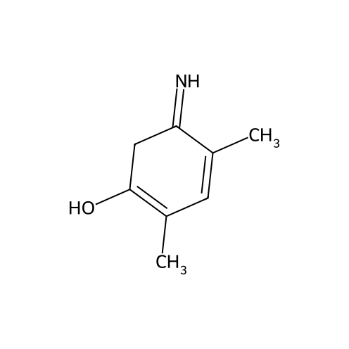 CC1=CC(C)=C(O)CC1=N